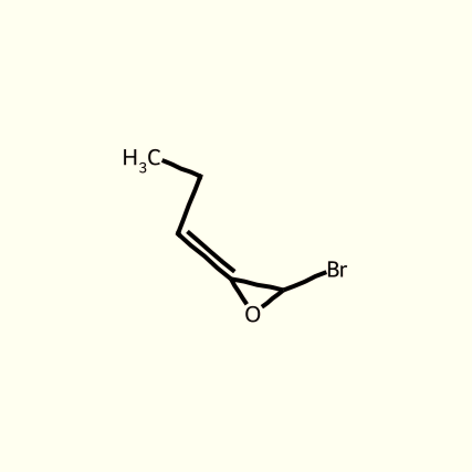 CCC=C1OC1Br